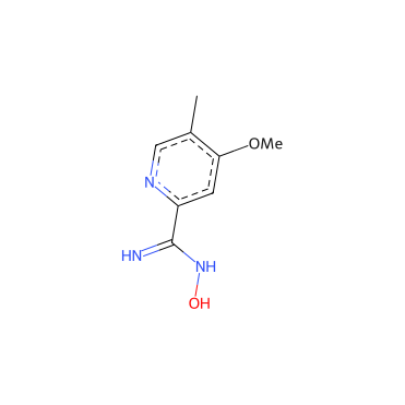 COc1cc(C(=N)NO)ncc1C